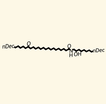 CCCCCCCCCCCCCCCC[C@@H](O)CNC(=O)CCCCCCCCCCCCCCCC(=O)CCCCCCCCCCCCCCC